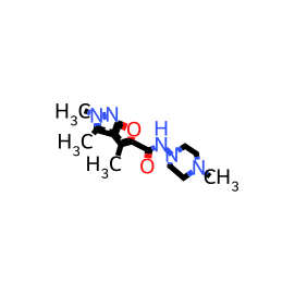 Cc1c(C(=O)NN2CCN(C)CC2)oc2nn(C)c(C)c12